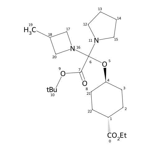 CCOC(=O)[C@H]1CC[C@H](OC(C(=O)OC(C)(C)C)(N2CCCC2)N2CC(C)C2)CC1